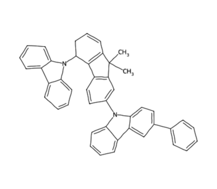 CC1(C)C2=C(c3ccc(-n4c5ccccc5c5cc(-c6ccccc6)ccc54)cc31)C(n1c3ccccc3c3ccccc31)CC=C2